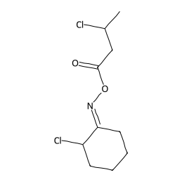 CC(Cl)CC(=O)ON=C1CCCCC1Cl